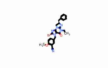 CCN1C(=O)c2c(nc(Br)n2Cc2ccc(OC)c(C#N)c2)N2C[C@@H](Cc3ccccc3)N=C12